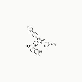 C=CC(=O)N1CCN(c2nc(OCCN(C)C)nc3c2CCN(c2c(C)ccc(N)c2C=N)C3)CC1